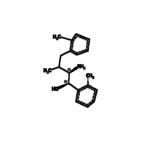 Cc1ccccc1CC(C)[C@@H](N)[C@H](O)c1ccccc1C